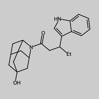 CCC(CC(=O)N1C2CC3CC1CC(O)(C3)C2)c1c[nH]c2ccccc12